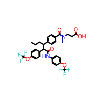 CCCC(c1ccc(C(=O)NCCC(=O)O)cc1)C(C(=O)Nc1ccc(OC(F)(F)F)cc1)c1ccc(OC(F)(F)F)cc1